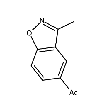 CC(=O)c1ccc2onc(C)c2c1